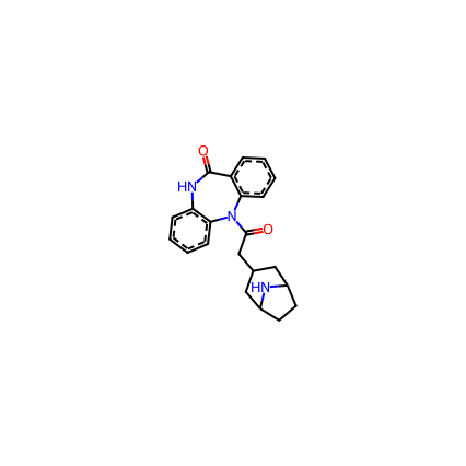 O=C1Nc2ccccc2N(C(=O)CC2CC3CCC(C2)N3)c2ccccc21